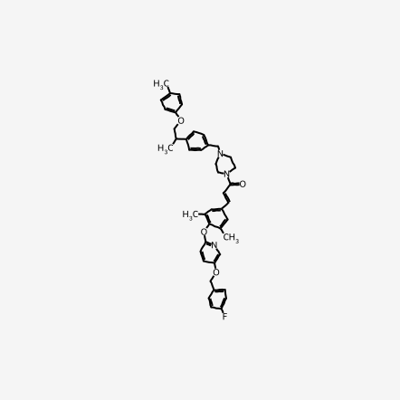 Cc1ccc(OCC(C)c2ccc(CN3CCN(C(=O)/C=C/c4cc(C)c(Oc5ccc(OCc6ccc(F)cc6)cn5)c(C)c4)CC3)cc2)cc1